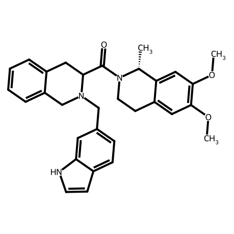 COc1cc2c(cc1OC)[C@@H](C)N(C(=O)C1Cc3ccccc3CN1Cc1ccc3cc[nH]c3c1)CC2